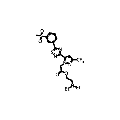 CCN(CC)CCOC(=O)Cn1nc(C(F)(F)F)cc1-c1nsc(-c2cccc(S(C)(=O)=O)c2)n1